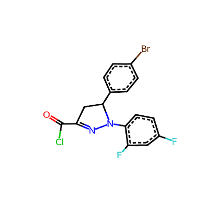 O=C(Cl)C1=NN(c2ccc(F)cc2F)C(c2ccc(Br)cc2)C1